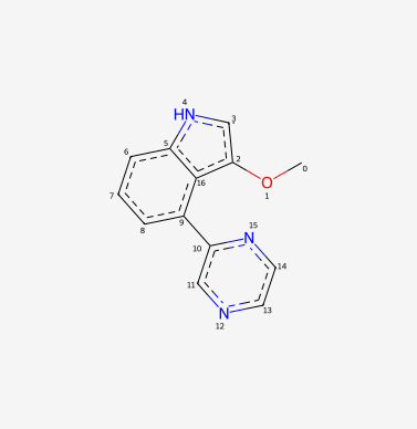 COc1[c][nH]c2cccc(-c3cnccn3)c12